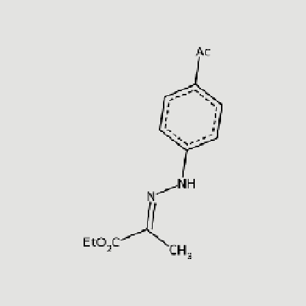 CCOC(=O)/C(C)=N/Nc1ccc(C(C)=O)cc1